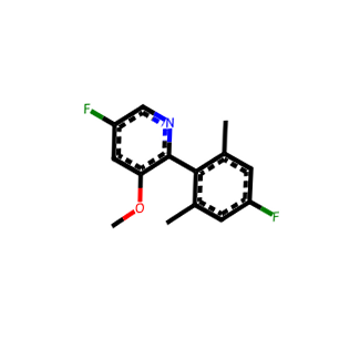 COc1cc(F)cnc1-c1c(C)cc(F)cc1C